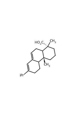 CC(C)C1=CC2=CCC3[C@](C)(CCC[C@@]3(C)C(=O)O)C2CC1